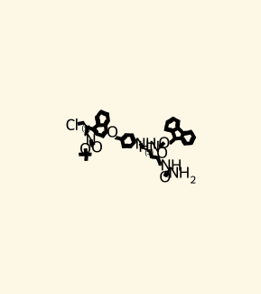 CC(C)(C)OC(=O)N1C[C@@H](CCl)c2c1cc(OCc1ccc(NC[C@H](CCCNC(N)=O)NC(=O)OCC3c4ccccc4-c4ccccc43)cc1)c1ccccc21